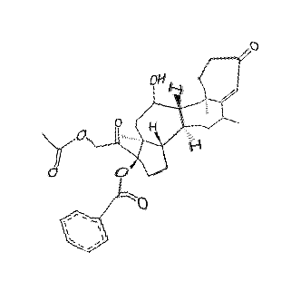 CC(=O)OCC(=O)[C@@]1(OC(=O)c2ccccc2)CC[C@H]2[C@@H]3CC(C)C4=CC(=O)CC[C@]4(C)[C@H]3C(O)C[C@@]21C